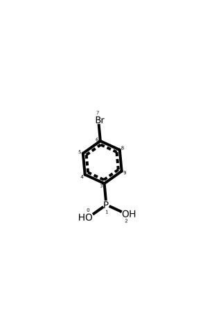 OP(O)c1ccc(Br)cc1